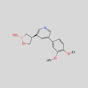 CCCOc1cc(-c2cncc([C@H]3COB(O)C3)c2)ccc1OCC